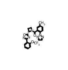 Cc1ccc(-n2nccn2)c(C(=O)N2CC[C@H]2c2nc(-c3ccccc3OC(F)(F)F)no2)c1